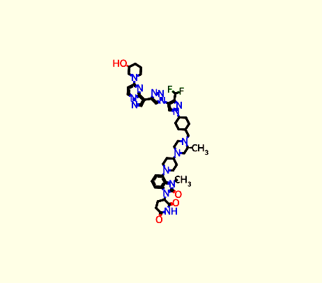 C[C@H]1CN(C2CCN(c3cccc4c3n(C)c(=O)n4C3CCC(=O)NC3=O)CC2)CCN1CC1CCC(n2cc(-n3cc(-c4cnn5ccc(N6CCC[C@H](O)C6)nc45)nn3)c(C(F)F)n2)CC1